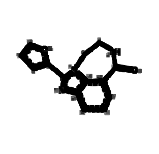 O=C1NCCn2c(-c3ccco3)nc3cccc1c32